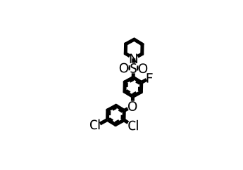 O=S(=O)(c1ccc(Oc2ccc(Cl)cc2Cl)cc1F)N1CCCCC1